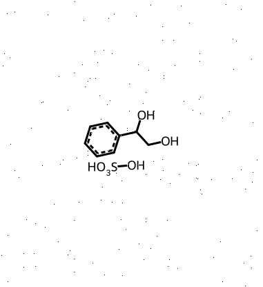 O=S(=O)(O)O.OCC(O)c1ccccc1